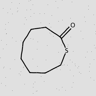 O=C1CCCCCCCS1